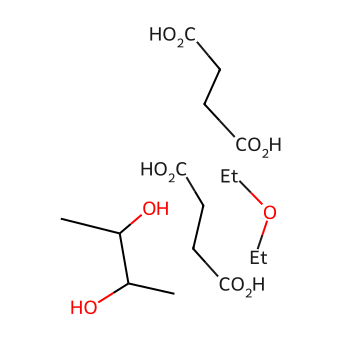 CC(O)C(C)O.CCOCC.O=C(O)CCC(=O)O.O=C(O)CCC(=O)O